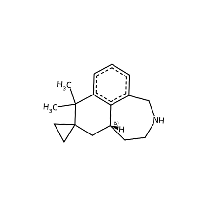 CC1(C)c2cccc3c2[C@H](CCNC3)CC12CC2